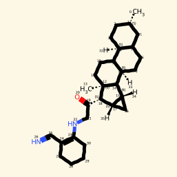 C[C@H]1CC[C@H]2C(CC[C@@H]3C2CC[C@@]2(C)C3[C@@H]3C[C@@H]3[C@@H]2C(=O)CNC2=C(C=N)CCCC2)C1